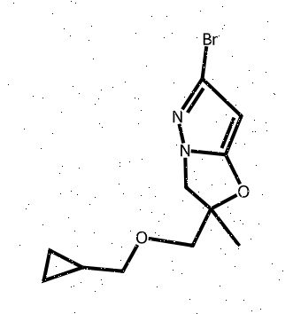 CC1(COCC2CC2)Cn2nc(Br)cc2O1